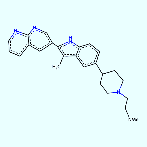 CNCCN1CCC(c2ccc3[nH]c(-c4cnc5ncccc5c4)c(C)c3c2)CC1